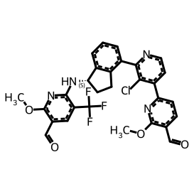 COc1nc(-c2ccnc(-c3cccc4c3CC[C@@H]4Nc3nc(OC)c(C=O)cc3C(F)(F)F)c2Cl)ccc1C=O